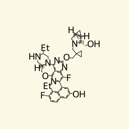 CCc1c(F)ccc2cc(O)cc(-c3nc4c5c(nc(OCC6(CN7C[C@@H]8C[C@@H]8[C@@H]7CO)CC6)nc5c3F)N3CC(CC)NC[C@H]3CO4)c12